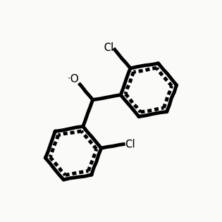 [O]C(c1ccccc1Cl)c1ccccc1Cl